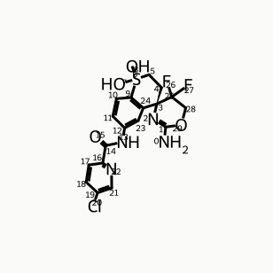 NC1=N[C@@]2(CCS(O)(O)c3ccc(NC(=O)c4ccc(Cl)cn4)cc32)C(F)(F)CO1